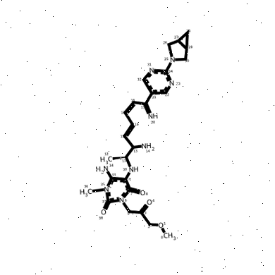 COCC(=O)Cn1c(=O)c(N[C@@H](C)C(N)C=C/C=C\C(=N)c2cnc(N3CC4CC4C3)nc2)c(N)n(C)c1=O